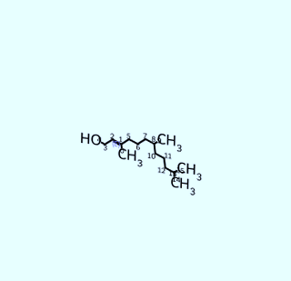 C/C(=C\CO)CCCC(C)CCCC(C)C